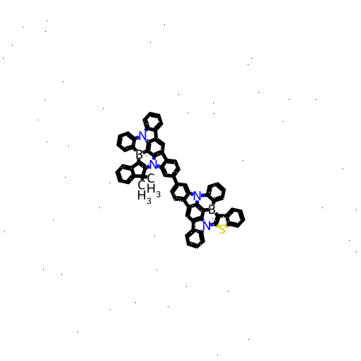 CC1(C)C2=C(B3c4ccccc4-n4c5ccccc5c5cc6c7ccc(-c8ccc9c%10cc%11c%12ccccc%12n%12c%11c%11c%10n(c9c8)-c8ccccc8B%11c8c-%12sc9ccccc89)cc7n2c6c3c54)c2ccccc21